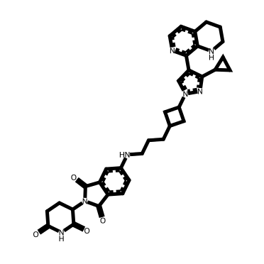 O=C1CCC(N2C(=O)c3ccc(NCCCC4CC(n5cc(-c6nccc7c6NCCC7)c(C6CC6)n5)C4)cc3C2=O)C(=O)N1